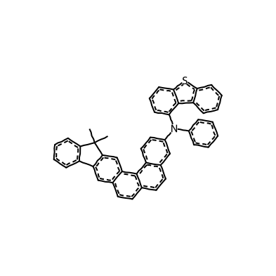 CC1(C)c2ccccc2-c2cc3ccc4ccc5cc(N(c6ccccc6)c6cccc7sc8ccccc8c67)ccc5c4c3cc21